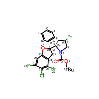 CC(C)(C)OC(=O)N1C[C@H](F)C[C@H]1[C@@]1(c2ccccc2)Cc2c(cc(F)c(Cl)c2Br)O1